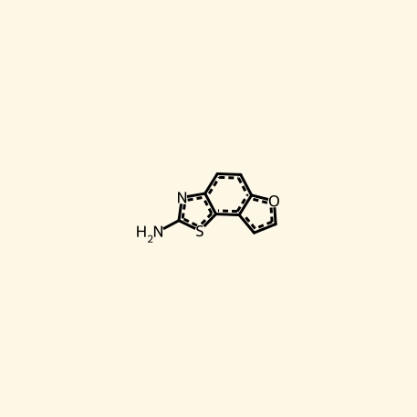 Nc1nc2ccc3occc3c2s1